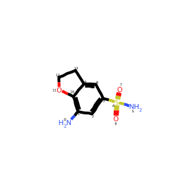 Nc1cc(S(N)(=O)=O)cc2c1OCC2